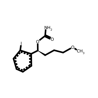 COCCC[C@H](OC(N)=O)c1ccccc1I